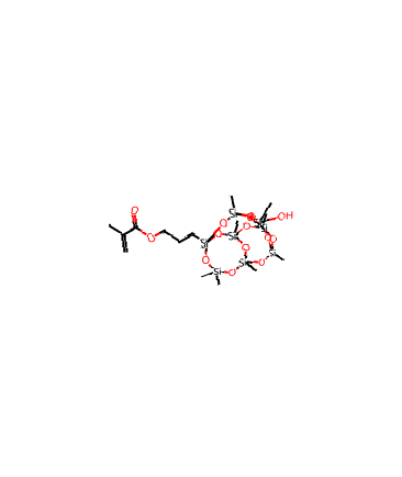 C=C(C)C(=O)OCCC[Si]12O[Si](C)(C)O[Si]3(C)O[Si]4(C)O[Si](C)(O)O[Si](C)(O[Si](C)(O4)O[Si](C)(O3)O1)O2